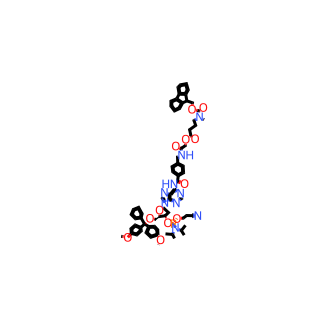 COc1ccc(C(OC[C@H]2O[C@@H](n3cnc4c(NC(=O)c5ccc(CNC(=O)COC(=O)CCCN(C)C(=O)OCC6c7ccccc7-c7ccccc76)cc5)ncnc43)C[C@H]2OP(OCCC#N)N(C(C)C)C(C)C)(c2ccccc2)c2ccc(OC)cc2)cc1